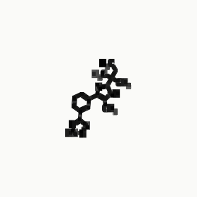 CCC(C)(C)c1nc(-c2cccc(-c3nn[nH]n3)c2)c(C)[nH]1